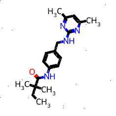 CCC(C)(C)C(=O)Nc1ccc(CNc2nc(C)cc(C)n2)cc1